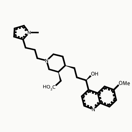 COc1ccc2nccc([C@H](O)CC[C@@H]3CCN(CCCc4cccn4C)C[C@@H]3CC(=O)O)c2c1